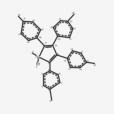 CC[Si]1(C)C(c2ccc(C)cc2)=C(c2ccc(C)cc2)C(c2ccc(C)cc2)=C1c1ccc(C)cc1